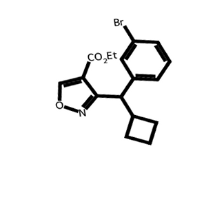 CCOC(=O)c1conc1C(c1cccc(Br)c1)C1CCC1